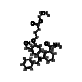 CCOC(=O)CCCOc1cc2c3c(n(Cc4ccccc4)c2cc1CC)CCCC3C(N)=O